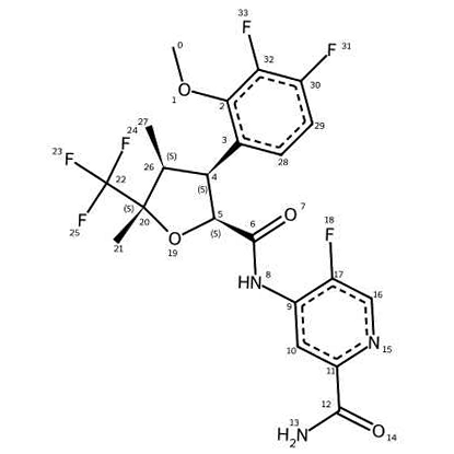 COc1c([C@H]2[C@@H](C(=O)Nc3cc(C(N)=O)ncc3F)O[C@](C)(C(F)(F)F)[C@H]2C)ccc(F)c1F